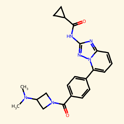 CN(C)C1CN(C(=O)c2ccc(-c3cccc4nc(NC(=O)C5CC5)nn34)cc2)C1